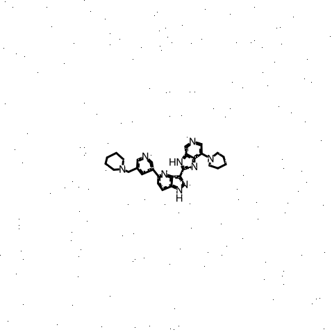 c1ncc(-c2ccc3[nH]nc(-c4nc5c(N6CCCCC6)cncc5[nH]4)c3n2)cc1CN1CCCCC1